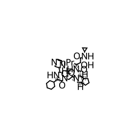 CCC[C@H](NC(=O)[C@@H]1[C@H]2CCC[C@H]2CN1C(=O)CNC(=O)[C@@H](NC(c1cnccn1)C(F)(F)F)C1CCCCC1)C(O)C(=O)NC1CC1